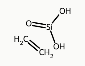 C=C.O=[Si](O)O